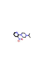 CC(C)N1CCN(c2ncccc2[N+](=O)[O-])CC1